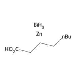 CCCCCCCC(=O)O.[BiH3].[Zn]